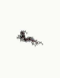 CC(C)CSCCNC(=O)CCNC(=O)[C@H](O)C(C)(C)COP(=O)(O)OP(=O)(O)OC[C@H]1O[C@@H](n2cnc3c(N)ncnc32)[C@H](O)[C@@H]1OP(=O)(O)O